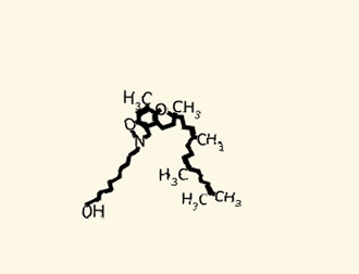 CC(C)=CCCC(C)=CCCC(C)=CCCC1(C)CCc2c3c(cc(C)c2O1)OCN(CCCCCCCCCCO)C3